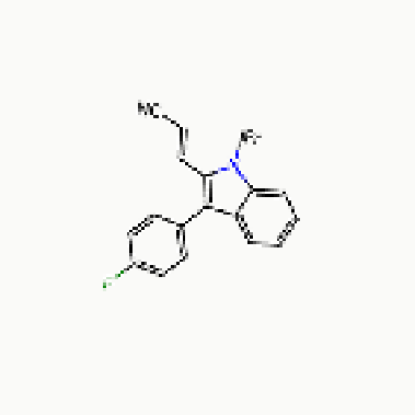 CC(C)n1c(C=CC#N)c(-c2ccc(F)cc2)c2ccccc21